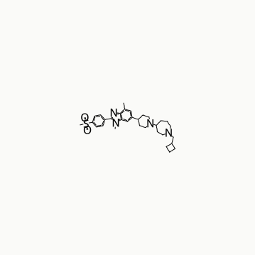 Cc1cc(C2CCN(C3CCCN(CC4CCC4)CC3)CC2)cc2c1nc(-c1ccc(S(C)(=O)=O)cc1)n2C